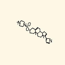 CN1CCN(C(=O)OC2CCC3(C)C(=CCC4C3CCC3(C)C(c5cccnc5)=CCC43)C2)CC1